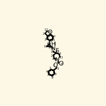 O=C(OCc1ccccc1)N1CCC(F)(CN[C@@H]2C[C@H]2c2ccc3c(c2)CCO3)CC1